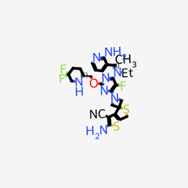 CCN(c1nc(OC[C@@H]2CCC(F)(F)CN2)nc(N2CC3(C2)SCc2sc(N)c(C#N)c23)c1F)[C@H](C)c1cccnc1N